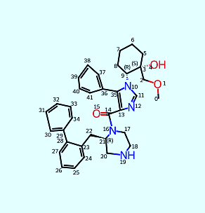 COC[C@]1(O)CCCC[C@H]1n1cnc(C(=O)N2CCNC[C@H]2Cc2ccccc2-c2ccccc2)c1-c1ccccc1